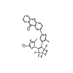 Cc1sc(Cl)cc1C1=C(c2cc(-c3ccc4sc5ccccc5c(=O)c4c3)sc2C)C(F)(F)C(F)(F)C1(F)F